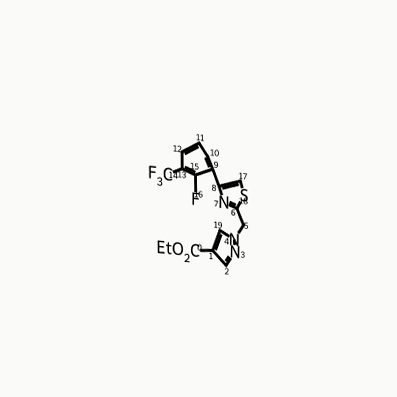 CCOC(=O)c1cnn(Cc2nc(-c3cccc(C(F)(F)F)c3F)cs2)c1